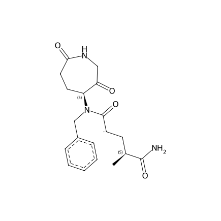 C[C@@H](C[CH]C(=O)N(Cc1ccccc1)[C@H]1CCC(=O)NCC1=O)C(N)=O